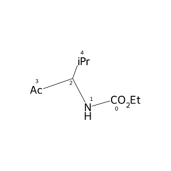 CCOC(=O)NC(C(C)=O)C(C)C